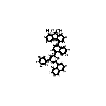 CC1(C)c2ccccc2-c2c(-c3ccc(-c4cc(-c5ccccc5)nc(-c5cccc6ccccc56)n4)c4ccccc34)cccc21